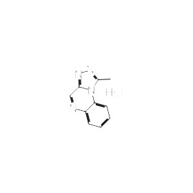 Cc1nnc2cnc3ccccc3n12.Cl